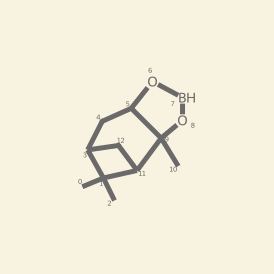 CC1(C)C2CC3OBOC3(C)C1C2